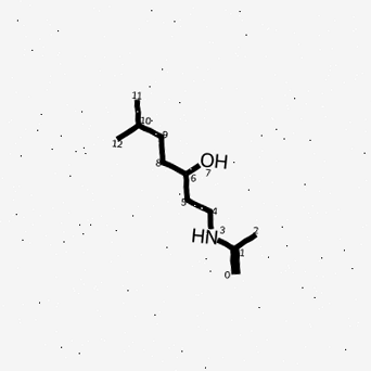 C=C(C)NCCC(O)CCC(C)C